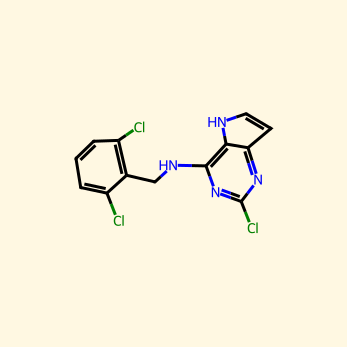 Clc1nc(NCc2c(Cl)cccc2Cl)c2[nH]ccc2n1